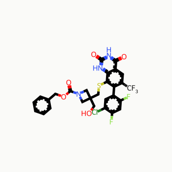 O=C(OCc1ccccc1)N1CC(CO)(CSc2c(-c3cc(Cl)c(F)cc3F)c(C(F)(F)F)cc3c(=O)[nH]c(=O)[nH]c23)C1